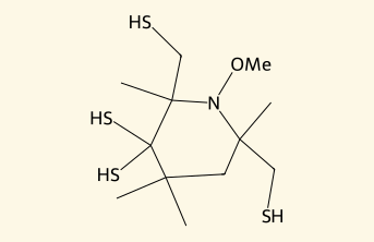 CON1C(C)(CS)CC(C)(C)C(S)(S)C1(C)CS